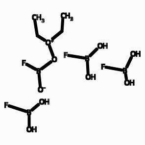 CC[O+](CC)OB([O-])F.OB(O)F.OB(O)F.OB(O)F